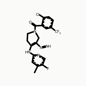 Cc1cc(NC2=C(N=N)CN(C(=O)c3cc(C(F)(F)F)ccc3Cl)CC2)ncc1F